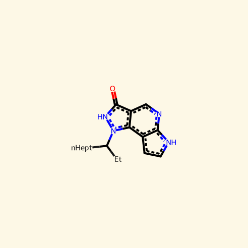 CCCCCCCC(CC)n1[nH]c(=O)c2cnc3[nH]ccc3c21